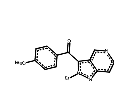 CCn1nc2ccncc2c1C(=O)c1ccc(OC)cc1